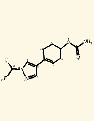 NC(=O)OC1CC=C(c2cnn(C(F)F)c2)CC1